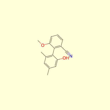 COc1cccc(C#N)c1-c1c(C)cc(C)cc1O